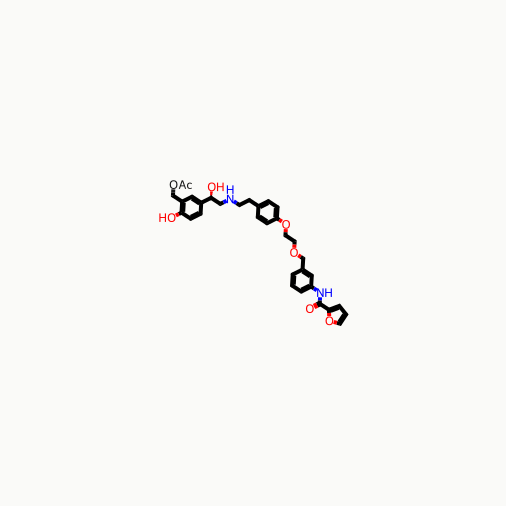 CC(=O)OCc1cc([C@@H](O)CNCCc2ccc(OCCOCc3cccc(NC(=O)c4ccco4)c3)cc2)ccc1O